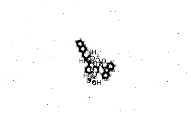 COC(=O)N(C(COCP(=O)(O)O)C(=O)N1CCCCC1C(=O)NC(Cc1ccc2ccccc2c1)C(N)=O)C1c2ccccc2-c2ccccc21